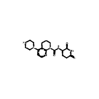 O=C1CCC(NC(=O)N2CCCc3c(N4CCNCC4)ccnc32)C(=O)N1